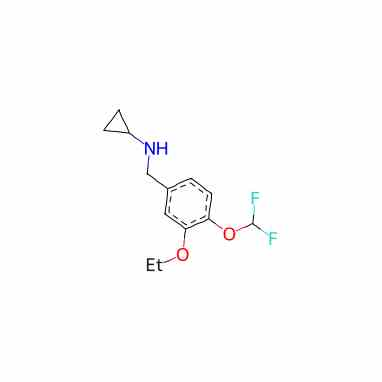 CCOc1cc(CNC2CC2)ccc1OC(F)F